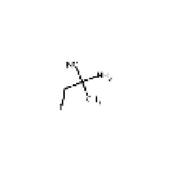 CC(N)(C#N)CF